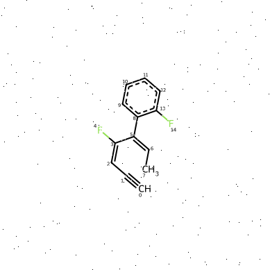 C#C/C=C(F)\C(=C/C)c1ccccc1F